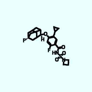 O=C(NS(=O)(=O)N1CCC1)c1cc(C2CC2)c(O[C@H]2C3CC4CC2C[C@](F)(C4)C3)cc1F